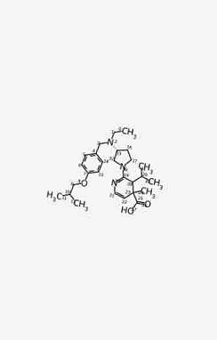 CCN(Cc1ccc(OCC(C)C)cc1)[C@@H]1CCN(C2=NC=CC(C)(C(=O)O)C2C(C)C)C1